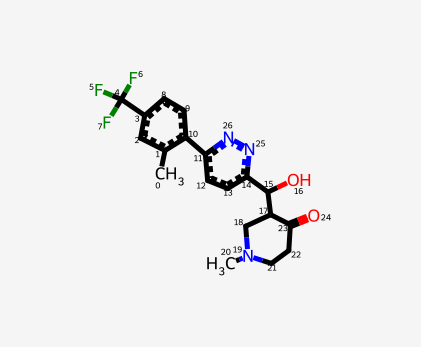 Cc1cc(C(F)(F)F)ccc1-c1ccc(C(O)C2CN(C)CCC2=O)nn1